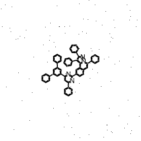 c1ccc(-c2cc(-c3ccccc3)cc(-c3cc(-c4ccccc4)nc(-c4ccc5cc(-c6ccccc6)n6nc(-c7ccccc7)c(-c7ccccc7)c6c5c4)n3)c2)cc1